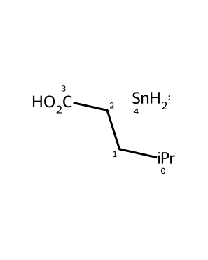 CC(C)CCC(=O)O.[SnH2]